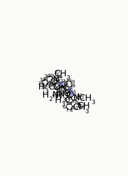 C#CC1=C(c2ccccc2C)C(C)(C)/C(=C\C=C2/CCCC(/C=C/C3=[N+](CC)c4ccc5ccccc5c4C3(C)C)=C2n2ccc(N)nc2=O)N1CC